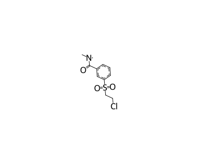 C[N]C(=O)c1cccc(S(=O)(=O)CCCl)c1